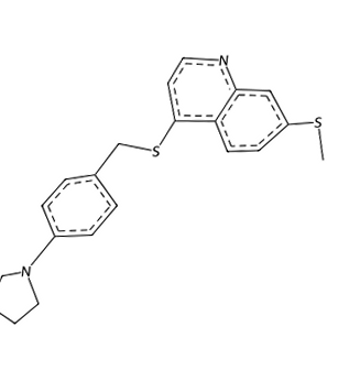 CSc1ccc2c(SCc3ccc(N4CCCC4)cc3)ccnc2c1